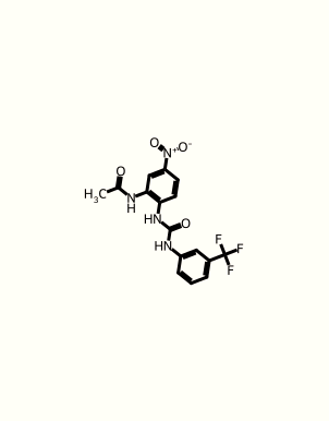 CC(=O)Nc1cc([N+](=O)[O-])ccc1NC(=O)Nc1cccc(C(F)(F)F)c1